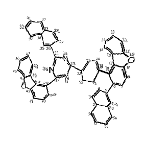 C1=CC2C=CC(c3ccc4oc5ccccc5c4c3C3=CC=C(c4nc(-c5ccc6ccccc6c5)nc(-c5cccc6oc7ccccc7c56)n4)CC3)=CC2C=C1